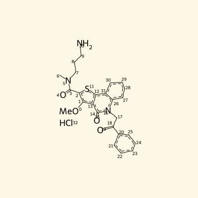 COc1c(C(=O)N(C)CCCN)sc2c1c(=O)n(CC(=O)c1ccccc1)c1ccccc21.Cl